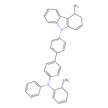 CC1CC=CC=C1N(c1ccccc1)c1ccc(-c2ccc(-n3c4c(c5ccccc53)C(C)CC=C4)cc2)cc1